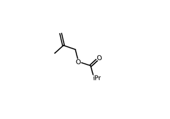 C=C(C)COC(=O)C(C)C